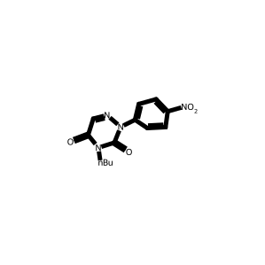 CCCCn1c(=O)cnn(-c2ccc([N+](=O)[O-])cc2)c1=O